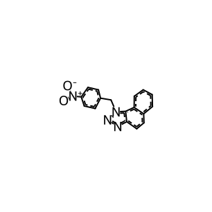 O=[N+]([O-])c1ccc(Cn2nnc3ccc4ccccc4c32)cc1